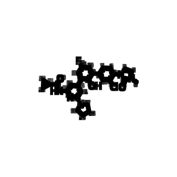 Cn1ccn(-c2ccc(-c3cc(F)cc(-c4cc(NC(=O)C5CC5)nc(N5CCCC5)c4)c3O)cc2Cl)c1=O